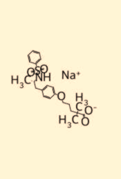 C[C@@H](Cc1ccc(OCCCC(C)(C)C(=O)[O-])cc1)NS(=O)(=O)c1ccccc1.[Na+]